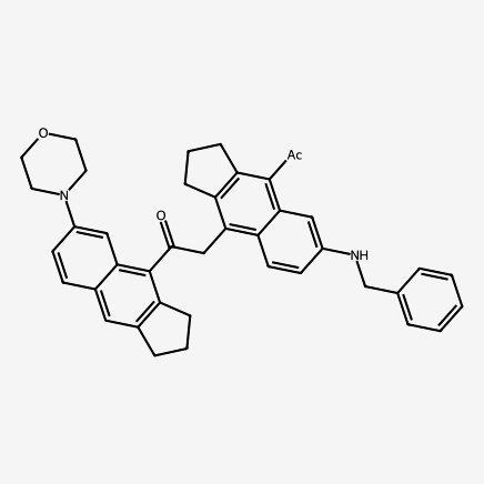 CC(=O)c1c2c(c(CC(=O)c3c4c(cc5ccc(N6CCOCC6)cc35)CCC4)c3ccc(NCc4ccccc4)cc13)CCC2